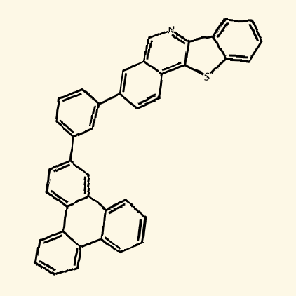 c1cc(-c2ccc3c(cnc4c5ccccc5sc34)c2)cc(-c2ccc3c4ccccc4c4ccccc4c3c2)c1